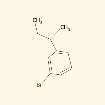 CCC(C)c1cccc(Br)c1